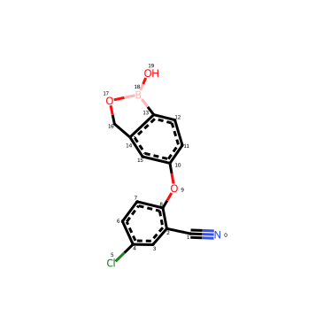 N#Cc1cc(Cl)ccc1Oc1ccc2c(c1)COB2O